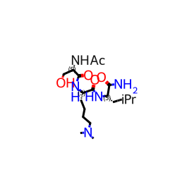 CC(=O)N[C@@H](CO)C(=O)N[C@@H](CCCCN(C)C)C(=O)N[C@@H](CC(C)C)C(N)=O